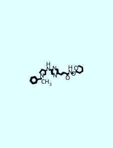 CC(c1ccccc1)N1CC[C@@H](Nc2cnc(/C=C/C(=O)NOC3CCCCO3)cn2)C1